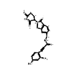 Cc1cc(O)ccc1C#CC(=O)NCc1ccc2c(c1)CN(C1CCC(=O)NC1=O)C2=O